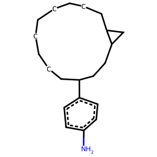 Nc1ccc(C2CCCCCCCCCC3CC3CC2)cc1